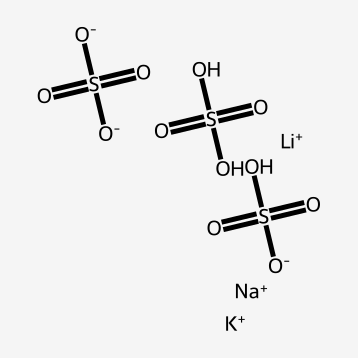 O=S(=O)(O)O.O=S(=O)([O-])O.O=S(=O)([O-])[O-].[K+].[Li+].[Na+]